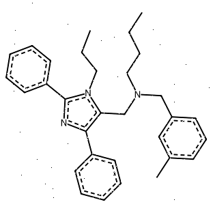 CCCCN(Cc1cccc(C)c1)Cc1c(-c2ccccc2)nc(-c2ccccc2)n1CCC